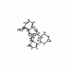 CC(C)n1nccc1[C@H]1COCC[C@@H]1COc1cccc(O)c1C=O